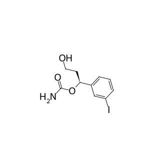 NC(=O)O[C@@H](CCO)c1cccc(I)c1